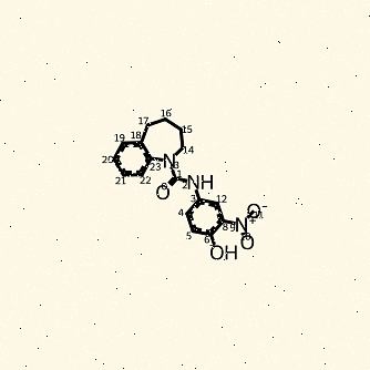 O=C(Nc1ccc(O)c([N+](=O)[O-])c1)N1CCCCc2ccccc21